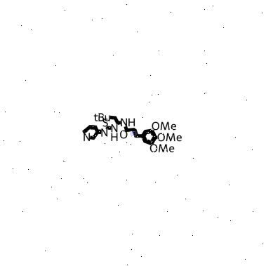 COc1cc(/C=C/C(=O)NC(CC(C)(C)C)NC(=S)N=C2C=CC=NC2)cc(OC)c1OC